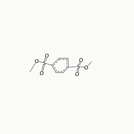 COS(=O)(=O)c1ccc(S(=O)(=O)OC)cc1